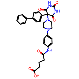 O=C(O)CCCC(=O)Nc1ccc(N2CCN(C3(c4ccc(-c5ccccc5)cc4)C(=O)NC(=O)NC3=O)CC2)cc1